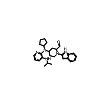 CC(C)Nc1cccnc1N(C1CCCC1)C1CCN(c2cc3ccccc3[nH]2)C(C=O)C1